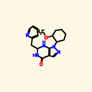 CO[C@H]1CCCC[C@H]1n1ncc2c1NC(Cc1ccccn1)NC2=O